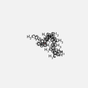 C=Cc1ccc(COc2ccc(OCc3ccc(CC(C)(C)Oc4c(C)cc(Oc5c(C)cc(C(C)(C)c6cc(C)c(Oc7cc(C)c(O)c(C)c7)c(C)c6)cc5C)cc4C)cc3)c(P(=O)(c3ccccc3)c3ccccc3)c2)cc1